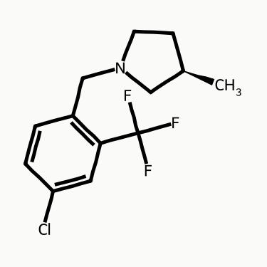 C[C@@H]1CCN(Cc2ccc(Cl)cc2C(F)(F)F)C1